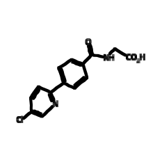 O=C(O)CNC(=O)c1ccc(-c2ccc(Cl)cn2)cc1